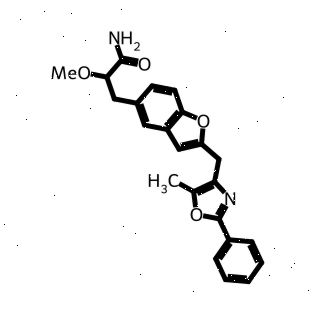 COC(Cc1ccc2oc(Cc3nc(-c4ccccc4)oc3C)cc2c1)C(N)=O